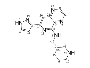 c1cnc2c(NC[C@H]3CCCNC3)nc(-c3cc[nH]n3)cc2n1